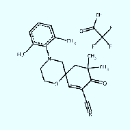 Cc1cccc(C)c1N1CCOC2(C=C(C#N)C(=O)C(C)(C)C2)C1.O=C(O)C(F)(F)F